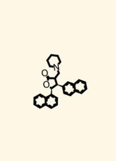 O=C1O[C@H](c2cccc3ccccc23)[C@H](c2ccc3ccccc3c2)C1CN1CCCCC1